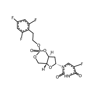 O=c1[nH]c(=O)n([C@H]2C[C@@H]3OP(=O)(OCCc4c(F)cc(F)cc4F)OC[C@H]3O2)cc1F